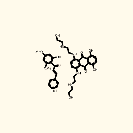 COc1cc(O)c(C(=O)C=Cc2ccccc2)c(OC)c1.Cl.O=C1c2c(O)ccc(O)c2C(=O)c2c(NCCNCCO)ccc(NCCNCCO)c21